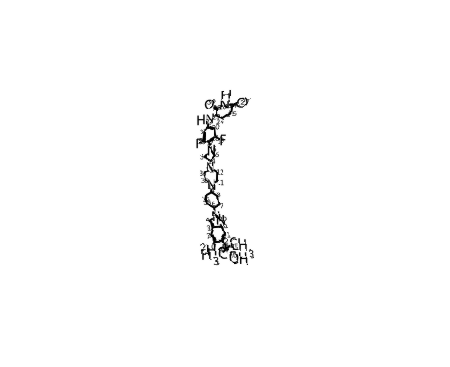 [2H]c1cc2cn(C3CCC(N4CCN(C5CN(c6c(F)cc(N[C@H]7CCC(=O)NC7=O)cc6F)C5)CC4)CC3)nc2cc1C(C)(C)O